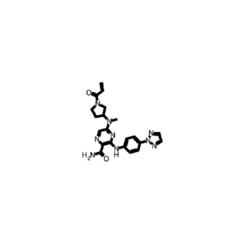 C=CC(=O)N1CCC(N(C)c2cnc(C(N)=O)c(Nc3ccc(-n4nccn4)cc3)n2)C1